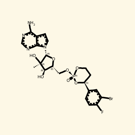 C[C@@]1(O)[C@H](O)[C@@H](CO[P@@]2(=O)OCC[C@@H](c3ccc(F)c(Br)c3)O2)O[C@H]1n1ccc2c(N)ncnc21